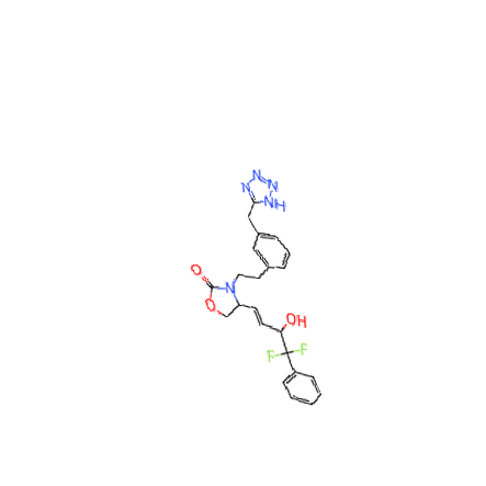 O=C1OCC(C=CC(O)C(F)(F)c2ccccc2)N1CCc1cccc(Cc2nnn[nH]2)c1